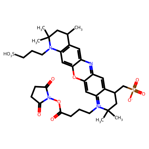 CC1CC(C)(C)N(CCCS(=O)(=O)O)c2cc3c(cc21)N=c1cc2c(cc1O3)=[N+](CCCC(=O)ON1C(=O)CCC1=O)C(C)(C)CC2CS(=O)(=O)[O-]